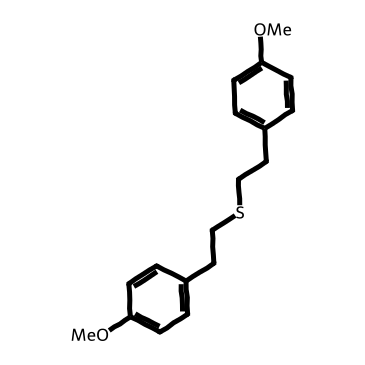 COc1ccc(CCSCCc2ccc(OC)cc2)cc1